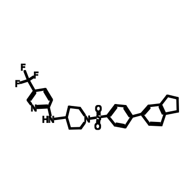 O=S(=O)(c1ccc(-c2ccc3c(c2)CCC3)cc1)N1CCC(Nc2ccc(C(F)(F)F)cn2)CC1